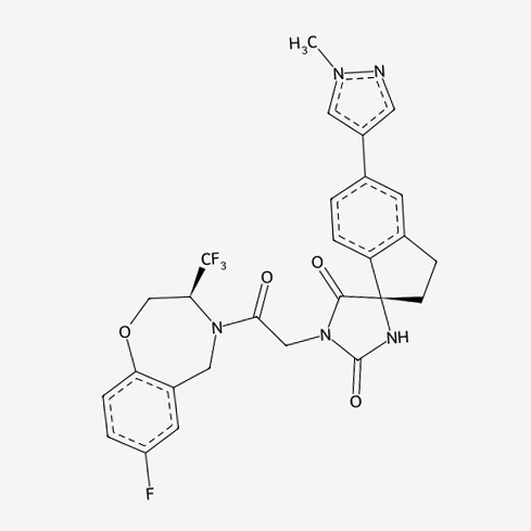 Cn1cc(-c2ccc3c(c2)CC[C@]32NC(=O)N(CC(=O)N3Cc4cc(F)ccc4OC[C@H]3C(F)(F)F)C2=O)cn1